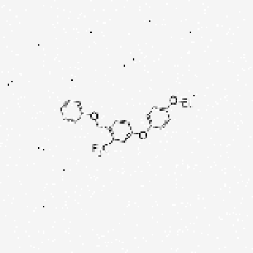 CCOc1ccc(Oc2ccc(COc3ccccc3)c(C(F)(F)F)c2)cc1